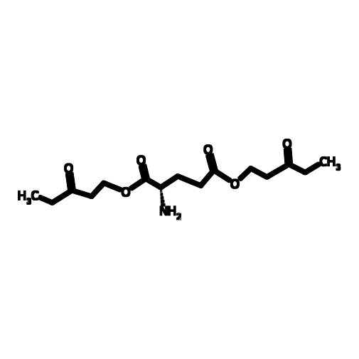 CCC(=O)CCOC(=O)CC[C@H](N)C(=O)OCCC(=O)CC